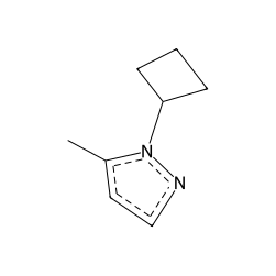 Cc1ccnn1C1CCC1